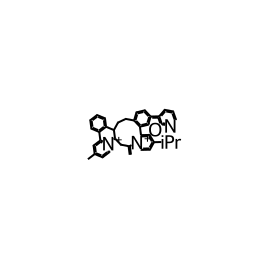 C=C1CC2C(CCc3ccc4c(oc5ncccc54)c3-c3cc(C(C)C)cc[n+]31)c1ccccc1-c1cc(C)cc[n+]12